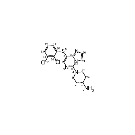 NC1CCN(c2ncc(Sc3cccc(Cl)c3Cl)c3nccn23)CC1